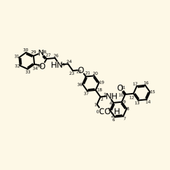 O=C(O)CC(Nc1ccccc1C(=O)c1ccccc1)c1ccc(OCCNCc2nc3ccccc3o2)cc1